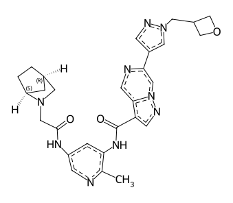 Cc1ncc(NC(=O)CN2C[C@@H]3CC[C@H]2C3)cc1NC(=O)c1cnn2cc(-c3cnn(CC4COC4)c3)ncc12